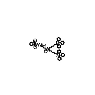 O=C(CCCCNCCN1C(=O)c2ccccc2C1=O)N(CCCCCCSC(c1ccccc1)(c1ccccc1)c1ccccc1)CCCCCCSC(c1ccccc1)(c1ccccc1)c1ccccc1